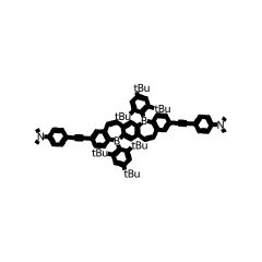 CN(C)c1ccc(C#Cc2ccc3c(c2)C=Cc2cc4c(cc2B3c2c(C(C)(C)C)cc(C(C)(C)C)cc2C(C)(C)C)C=Cc2cc(C#Cc3ccc(N(C)C)cc3)ccc2B4c2c(C(C)(C)C)cc(C(C)(C)C)cc2C(C)(C)C)cc1